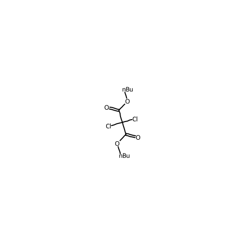 CCCCOC(=O)C(Cl)(Cl)C(=O)OCCCC